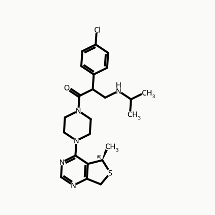 CC(C)NCC(C(=O)N1CCN(c2ncnc3c2[C@@H](C)SC3)CC1)c1ccc(Cl)cc1